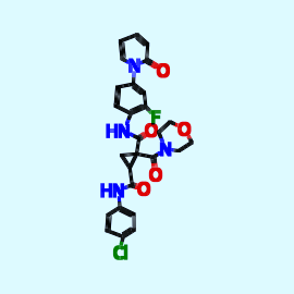 O=C(Nc1ccc(Cl)cc1)C1CC1(C(=O)Nc1ccc(-n2ccccc2=O)cc1F)C(=O)N1CCOCC1